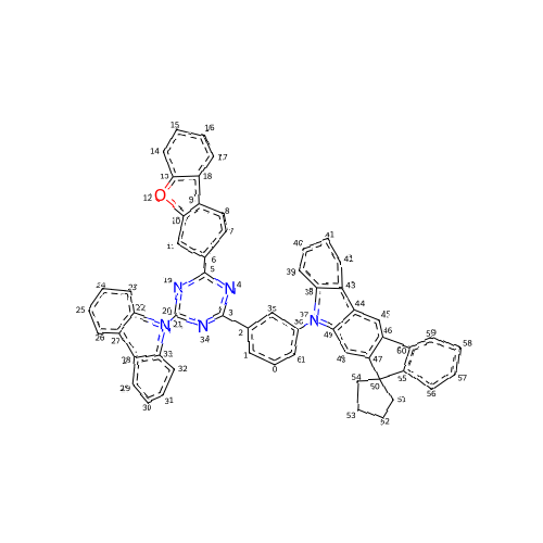 c1cc(-c2nc(-c3ccc4c(c3)oc3ccccc34)nc(-n3c4ccccc4c4ccccc43)n2)cc(-n2c3ccccc3c3cc4c(cc32)C2(CCCC2)c2ccccc2-4)c1